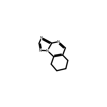 c1nc2ncc3c(n2n1)CCCC3